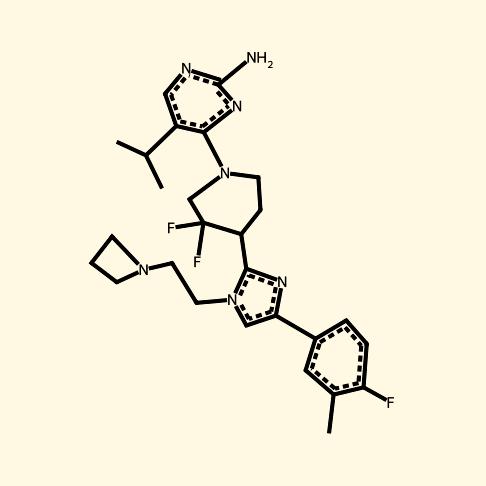 Cc1cc(-c2cn(CCN3CCC3)c(C3CCN(c4nc(N)ncc4C(C)C)CC3(F)F)n2)ccc1F